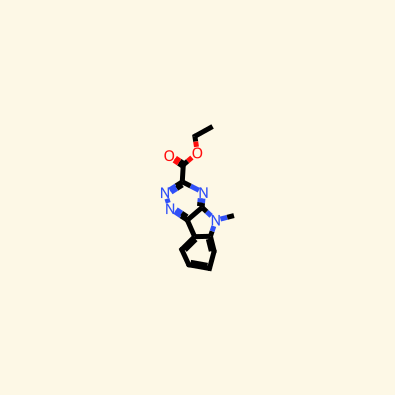 CCOC(=O)c1nnc2c3ccccc3n(C)c2n1